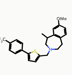 COc1ccc2c(c1)C(C)CN(Cc1ccc(-c3ccc(C(F)(F)F)cc3)s1)CC2